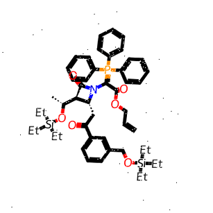 C=CCOC(=O)C(N1C(=O)[C@H]([C@@H](C)O[Si](CC)(CC)CC)[C@H]1CC(=O)c1cccc(CO[Si](CC)(CC)CC)c1)=P(c1ccccc1)(c1ccccc1)c1ccccc1